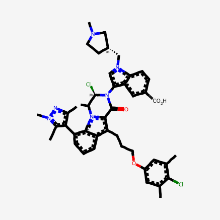 Cc1cc(OCCCc2c3n(c4c(-c5c(C)nn(C)c5C)cccc24)C(C)[C@@H](Cl)N(c2cn(C[C@@H]4CCN(C)C4)c4ccc(C(=O)O)cc24)C3=O)cc(C)c1Cl